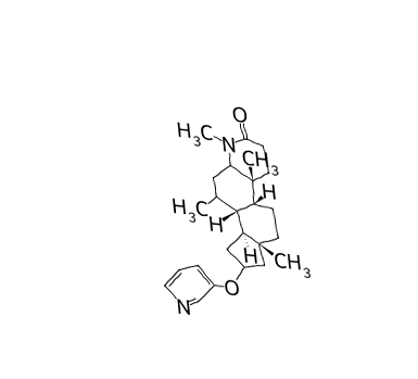 CC1CC2N(C)C(=O)CC[C@]2(C)[C@@H]2CC[C@]3(C)CC(Oc4cccnc4)C[C@H]3[C@H]12